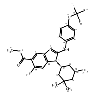 COC(=O)c1cc2nc(Nc3ccc(OC(F)(F)F)cc3)n([C@H]3C[C@@H](C)CC(C)(C)C3)c2cc1F